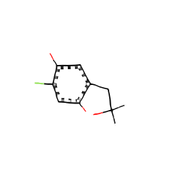 CCOC(=O)C1(CC)Cc2cc(O)c(F)cc2O1